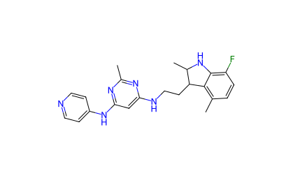 Cc1nc(NCCC2c3c(C)ccc(F)c3NC2C)cc(Nc2ccncc2)n1